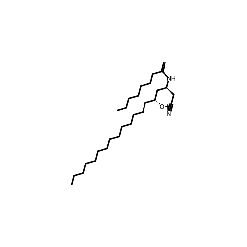 C=C(CCCCCCC)N[C@@H](CC#N)C[C@H](O)CCCCCCCCCCCCCC